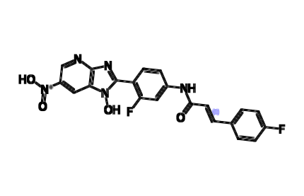 O=C(/C=C/c1ccc(F)cc1)Nc1ccc(-c2nc3ncc([N+](=O)O)cc3n2O)c(F)c1